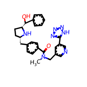 CN(Cc1cncc(-c2nnn[nH]2)c1)C(=O)c1ccc(C[C@@H]2CC[C@H](C(O)c3ccccc3)N2)cc1